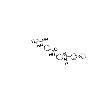 N=C(N)Nc1ccc(C(=O)Nc2ccc3[nH]c(-c4ccc(N5CCCC5)cc4)nc3c2)cc1